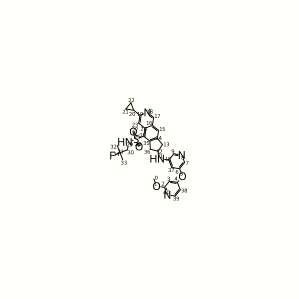 COc1cc(Oc2cncc(N[C@@H]3Cc4cc5cnc(C6CC6)cc5c(S(=O)(=O)NCC(C)(C)F)c4C3)c2)ccn1